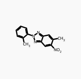 Cc1ccccc1-n1nc2cc(C)c([N+](=O)[O-])cc2n1